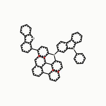 c1ccc(-c2cccc3cccc(-c4ccccc4N(c4ccc(-c5cccc6c5oc5ccccc56)cc4)c4ccc5c6ccccc6n(-c6ccccc6)c5c4)c23)cc1